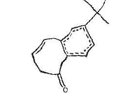 CC(C)(C)c1ccc2c(c1)C=CCC2=O